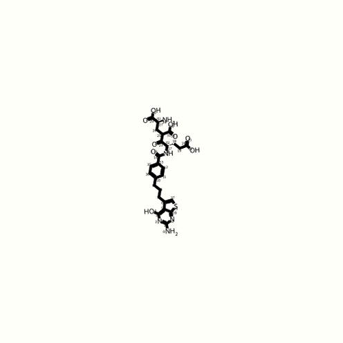 Nc1nc(O)c2c(CCCc3ccc(C(=O)N[C@@H](CCC(=O)O)C(=O)C(C[C@H](N)C(=O)O)C(=O)O)cc3)csc2n1